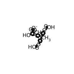 C[P+](c1ccccc1)(c1ccc(OCC(=O)O)cc1)c1ccc(OCC(=O)O)cc1.Cc1ccc(O)cc1S(=O)(=O)[O-]